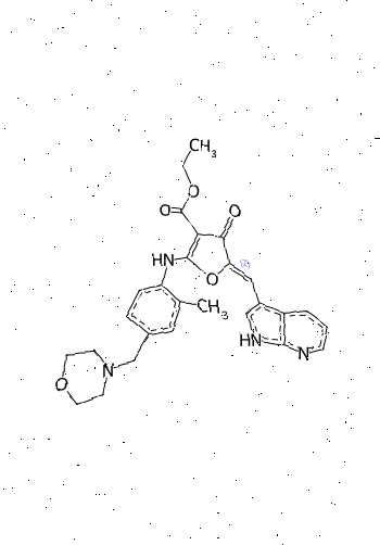 CCOC(=O)C1=C(Nc2ccc(CN3CCOCC3)cc2C)O/C(=C\c2c[nH]c3ncccc23)C1=O